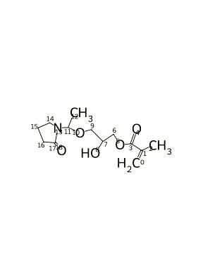 C=C(C)C(=O)OCC(O)COC(C)N1CCCC1=O